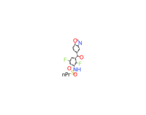 CCCS(=O)(=O)Nc1cc(F)cc(C(=O)c2ccc3ocnc3c2)c1F